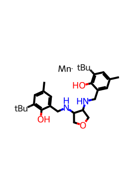 Cc1cc(CNC2COCC2NCc2cc(C)cc(C(C)(C)C)c2O)c(O)c(C(C)(C)C)c1.[Mn]